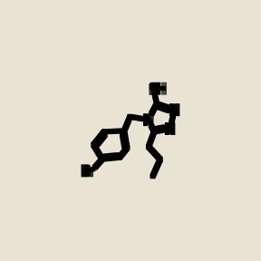 CCCc1nnc(S)n1Cc1ccc(Br)cc1